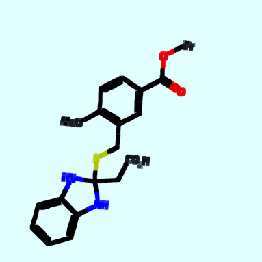 COc1ccc(C(=O)OC(C)C)cc1CSC1(CC(=O)O)Nc2ccccc2N1